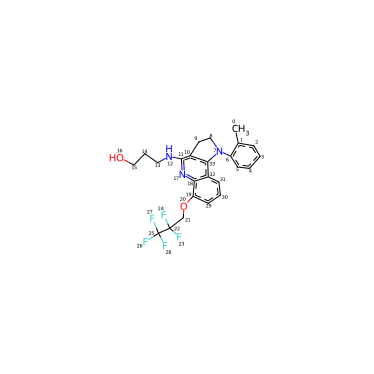 Cc1ccccc1N1CCc2c(NCCCO)nc3c(OCC(F)(F)C(F)(F)F)cccc3c21